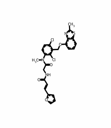 Cc1nc2c(OCc3c(Cl)ccc(N(C)C(=O)CNC(=O)C=Cc4ccco4)c3Cl)cccc2s1